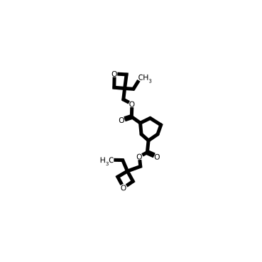 CCC1(COC(=O)C2CCCC(C(=O)OCC3(CC)COC3)C2)COC1